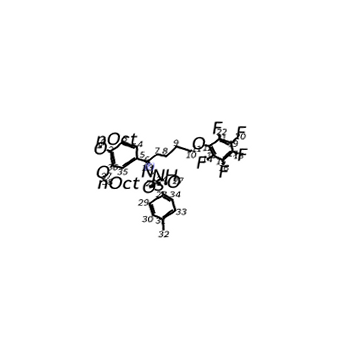 CCCCCCCCOc1ccc(/C(CCCCOc2c(F)c(F)c(F)c(F)c2F)=N/NS(=O)(=O)c2ccc(C)cc2)cc1OCCCCCCCC